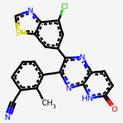 Cc1c(C#N)cccc1-c1nc2[nH]c(=O)ccc2nc1-c1cc(Cl)c2ncsc2c1